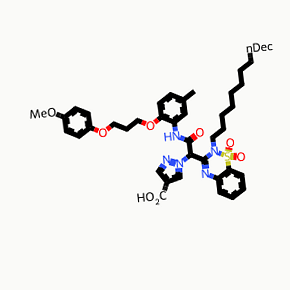 CCCCCCCCCCCCCCCCCCN1C(C(C(=O)Nc2cc(C)ccc2OCCCOc2ccc(OC)cc2)n2cc(C(=O)O)cn2)=Nc2ccccc2S1(=O)=O